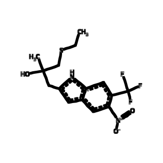 CCSCC(C)(O)Cc1cc2cc([N+](=O)[O-])c(C(F)(F)F)cc2[nH]1